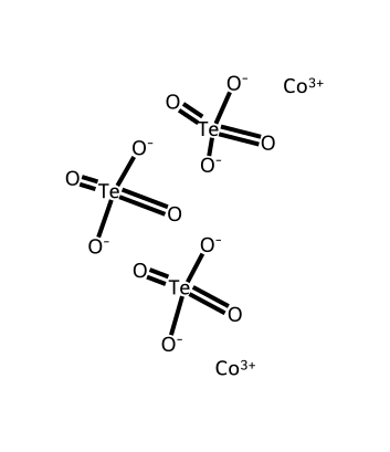 O=[Te](=O)([O-])[O-].O=[Te](=O)([O-])[O-].O=[Te](=O)([O-])[O-].[Co+3].[Co+3]